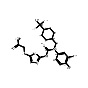 O=C(O)CSc1cnc(NC(=O)N(CC2CCC(C(F)(F)F)CC2)c2ccc(F)c(F)c2)s1